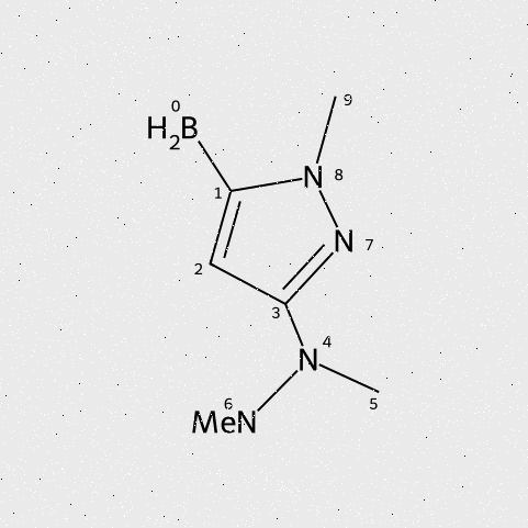 Bc1cc(N(C)NC)nn1C